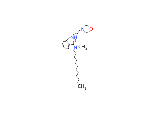 CCCCCCCCCCCCN(C)C(=O)c1ccccc1CNCCCN1CCOCC1